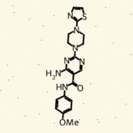 COc1ccc(NC(=O)c2cnc(N3CCN(c4nccs4)CC3)nc2N)cc1